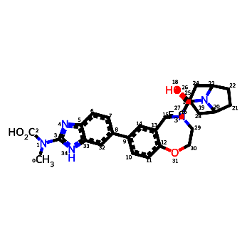 CN(C(=O)O)c1nc2ccc(-c3ccc4c(c3)CN(C(=O)N3C5CCC3CC(O)(C(F)(F)F)C5)CCO4)cc2[nH]1